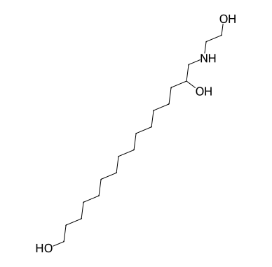 OCCCCCCCCCCCCCCC(O)CNCCO